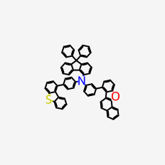 c1ccc(C2(c3ccccc3)c3ccccc3-c3c(N(c4ccc(-c5cccc6sc7ccccc7c56)cc4)c4cccc(-c5cccc6oc7c8ccccc8ccc7c56)c4)cccc32)cc1